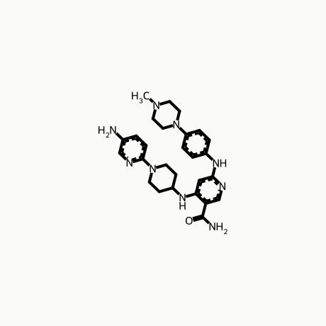 CN1CCN(c2ccc(Nc3cc(NC4CCN(c5ccc(N)cn5)CC4)c(C(N)=O)cn3)cc2)CC1